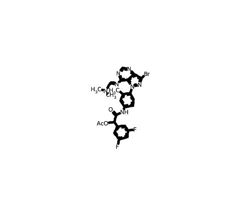 CC(=O)OC(C(=O)Nc1ccc(-n2nc(Br)c3ncnc(/N=C/N(C)C)c32)c(C)c1)c1cc(F)cc(F)c1